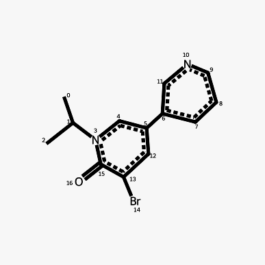 CC(C)n1cc(-c2cccnc2)cc(Br)c1=O